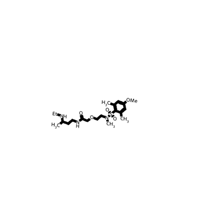 CCNC(C)CCNC(=O)COCCN(C)S(=O)(=O)c1c(C)cc(OC)cc1C